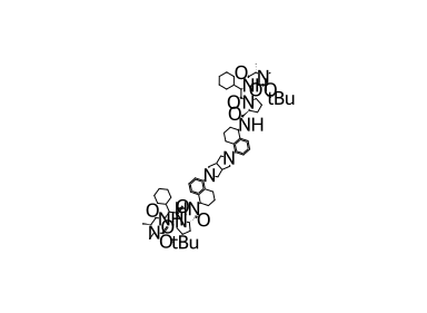 C[C@@H](C(=O)N[C@H](C(=O)N1CCC[C@H]1C(=O)N[C@@H]1CCCc2c1cccc2N1CC2CN(c3cccc4c3CCC[C@H]4NC(=O)[C@@H]3CCCN3C(=O)[C@@H](NC(=O)[C@H](C)N(C)C(=O)OC(C)(C)C)C3CCCCC3)CC2C1)C1CCCCC1)N(C)C(=O)OC(C)(C)C